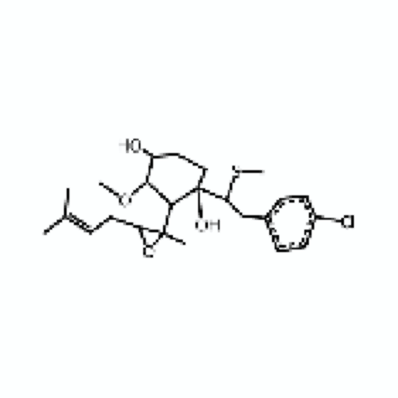 COC1C(O)CCC(O)(C(Cc2ccc(Cl)cc2)SC)C1C1(C)OC1CC=C(C)C